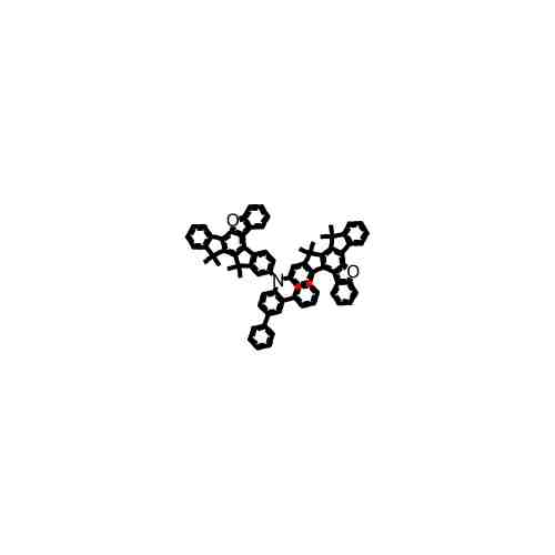 CC1(C)c2ccccc2-c2c1c1c(c3c2oc2ccccc23)-c2ccc(N(c3ccc4c(c3)C(C)(C)c3c5c(c6oc7ccccc7c6c3-4)-c3ccccc3C5(C)C)c3ccc(-c4ccccc4)cc3-c3ccccc3)cc2C1(C)C